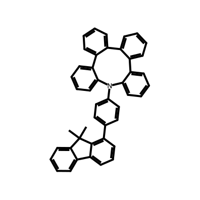 CC1(C)c2ccccc2-c2cccc(-c3ccc(-n4c5ccccc5c5ccccc5c5ccccc5c5ccccc54)cc3)c21